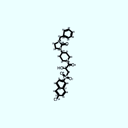 O=C([C@H](O)CS(=O)(=O)c1ccc2cc(Cl)ccc2c1)N1CCC(N2CCN(Cc3ccccc3)C2=O)CC1